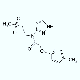 Cc1ccc(OCC(=O)N(CCS(C)(=O)=O)c2cc[nH]n2)cc1